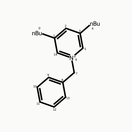 CCCCc1cc(CCCC)c[n+](Cc2ccccc2)c1